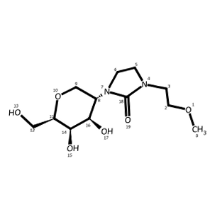 COCCN1CCN([C@H]2CO[C@H](CO)[C@H](O)[C@@H]2O)C1=O